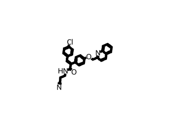 N#CCCNC(=O)/C(=C/c1ccc(Cl)cc1)c1ccc(OCc2ccc3ccccc3n2)cc1